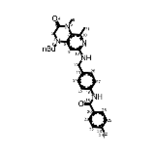 CCCCN1CC(=O)N(C)c2c1cc(NCc1ccc(NC(=O)c3ccc(F)cc3)cc1)nc2C